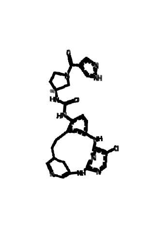 O=C(Nc1ccc2cc1CCC1C=NC=C(C1)Nc1ncc(Cl)c(n1)N2)N[C@H]1CCN(C(=O)c2cn[nH]c2)C1